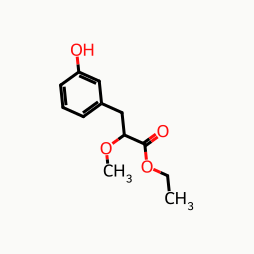 CCOC(=O)C(Cc1cccc(O)c1)OC